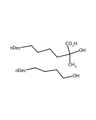 CCCCCCCCCCCCCCC(C)(O)C(=O)O.CCCCCCCCCCCCCCO